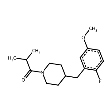 COc1ccc(F)c(CC2CCN(C(=O)C(C)C)CC2)c1